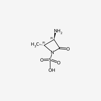 C[C@@H]1[C@@H](N)C(=O)N1S(=O)(=O)O